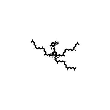 [CH2]c1ccc(OC)cc1OCc1cc(OCCC(C)CCC[C@H](C)CCC[C@H](C)CCCC(C)C)c(OCCC(C)CCC[C@H](C)CCC[C@H](C)CCCC(C)C)c(OCCC(C)CCC[C@H](C)CCC[C@H](C)CCCC(C)C)c1